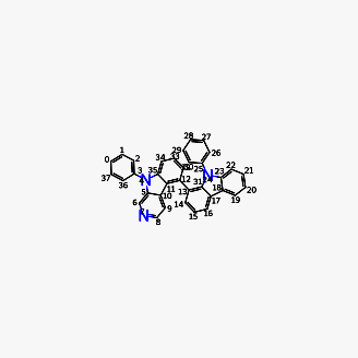 c1ccc(-n2c3cnccc3c3c(-c4cccc5c6ccccc6n(-c6ccccc6)c45)cccc32)cc1